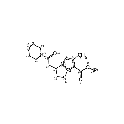 Cc1cn2c(c1C(=O)OC(C)C)SCC2CC(=O)N1CCOCC1